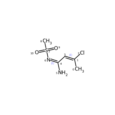 C/C(Cl)=C\C(N)=N/S(C)(=O)=O